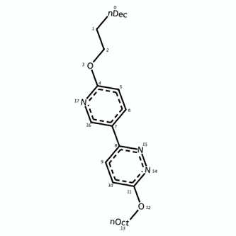 CCCCCCCCCCCCOc1ccc(-c2ccc(OCCCCCCCC)nn2)cn1